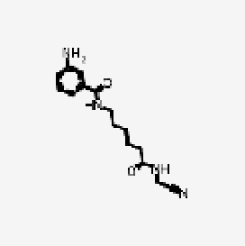 N#CCNC(=O)CCCCCNC(=O)c1cccc(N)c1